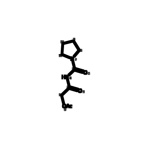 CC(=O)OCC(=O)NC(=O)N1CCCC1